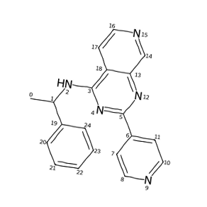 CC(Nc1nc(-c2ccncc2)nc2cnccc12)c1ccccc1